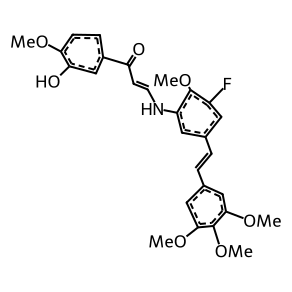 COc1ccc(C(=O)C=CNc2cc(C=Cc3cc(OC)c(OC)c(OC)c3)cc(F)c2OC)cc1O